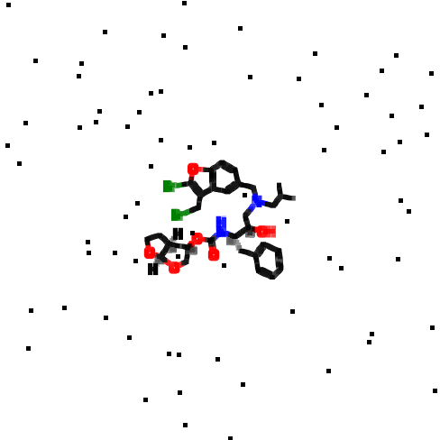 CC(C)CN(Cc1ccc2oc(Br)c(CBr)c2c1)C[C@@H](O)[C@H](Cc1ccccc1)NC(=O)O[C@H]1CO[C@H]2OCC[C@H]21